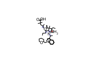 C=C(O/C=C(\C)CC(C)(C)C(=O)O)C(C)(C(=O)CC)C(/C(C)=C/CC)=C(N)/N=C(\C)c1cn(CC2CCCCO2)c2ccccc12